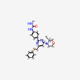 CNC(=O)Nc1ccc(-c2nc(CSc3ccccc3)cc(N3CCOC[C@@H]3C)n2)cc1